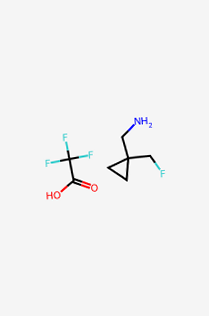 NCC1(CF)CC1.O=C(O)C(F)(F)F